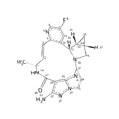 C[C@@H]1/C=C/c2ncc(F)cc2[C@@H]2[C@@H]3C[C@@H]3CN2c2ccn3nc(N)c(c3n2)C(=O)N1